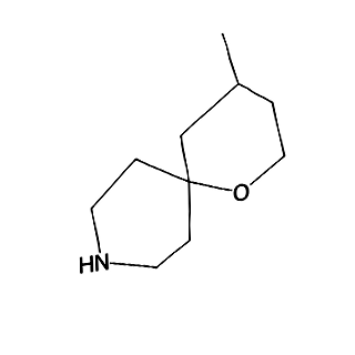 CC1CCOC2(CCNCC2)C1